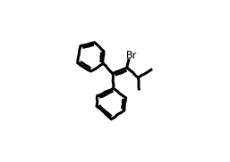 CC(C)C(Br)=C(c1ccccc1)c1ccccc1